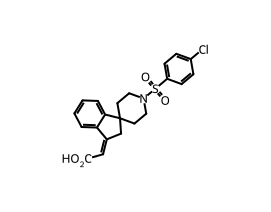 O=C(O)/C=C1/CC2(CCN(S(=O)(=O)c3ccc(Cl)cc3)CC2)c2ccccc21